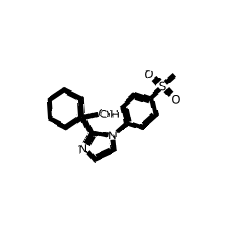 CS(=O)(=O)c1ccc(-n2ccnc2C2(O)CCCCC2)cc1